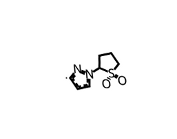 O=S1(=O)CCCC1n1cc[c]n1